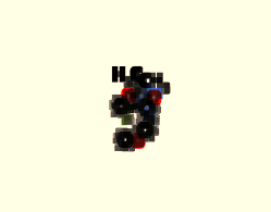 CC(C)CC1NC(=O)C2(CCN(Cc3ccc(Oc4ccccc4)cc3)CC2)N(Cc2ccccc2F)C1=O